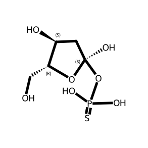 OC[C@H]1O[C@](O)(OP(O)(O)=S)C[C@@H]1O